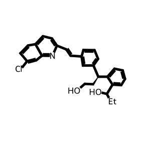 CCC(O)c1ccccc1[C@@H](CCO)c1cccc(C=Cc2ccc3ccc(Cl)cc3n2)c1